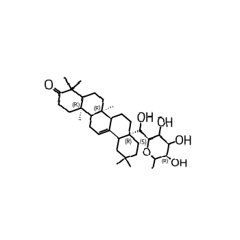 CC1O[C@@H](C(O)[C@@]23CCC4C(=CCC5[C@@]4(C)CCC4C(C)(C)C(=O)CC[C@@]45C)C2CC(C)(C)CC3)C(O)C(O)[C@H]1O